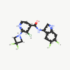 O=C(Nc1c[nH]c2cc(F)c(F)cc12)c1ccnc(N2CC(F)(F)C2)c1Cl